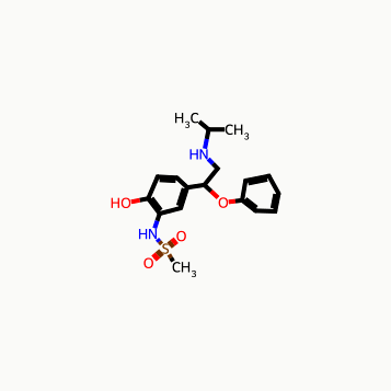 CC(C)NCC(Oc1ccccc1)c1ccc(O)c(NS(C)(=O)=O)c1